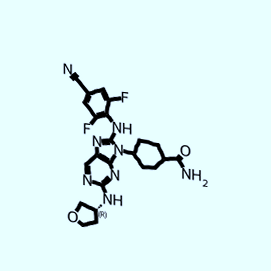 N#Cc1cc(F)c(Nc2nc3cnc(N[C@@H]4CCOC4)nc3n2C2CCC(C(N)=O)CC2)c(F)c1